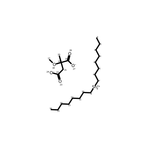 CCCCCCC[CH2][Sn+2][CH2]CCCCCCC.COC(C)(CC(=O)[O-])C(=O)[O-]